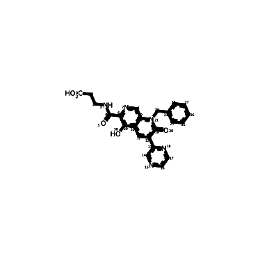 O=C(O)CCNC(=O)c1ncc2c(cc(-c3cnccn3)c(=O)n2Cc2ccccc2)c1O